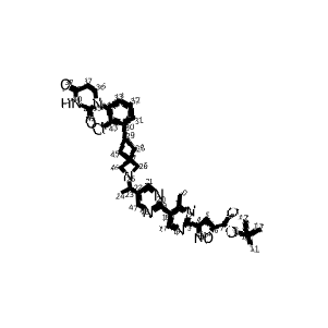 Cc1nc(-c2cc(C(=O)OC(C)(C)C)on2)ncc1-c1ncc(C(C)N2CC3(CC(c4cccc(N5CCC(=O)NC5=O)c4Cl)C3)C2)cn1